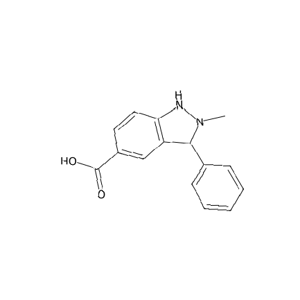 CN1Nc2ccc(C(=O)O)cc2C1c1ccccc1